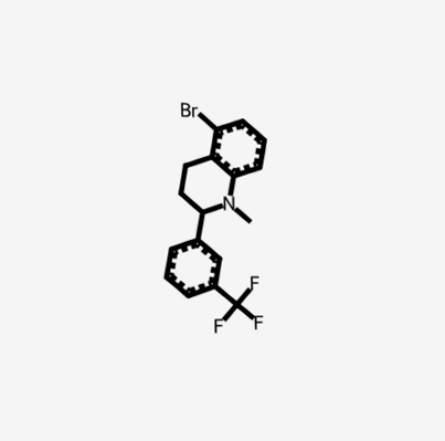 CN1c2cccc(Br)c2CCC1c1cccc(C(F)(F)F)c1